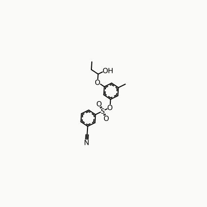 CCC(O)Oc1cc(C)cc(OS(=O)(=O)c2cccc(C#N)c2)c1